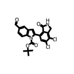 CC(C)(C)OC(=O)n1c(-c2cc(Cl)c(Cl)c3c2C(=O)NC3)cc2cc(C=O)ccc21